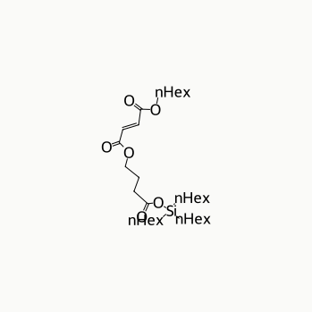 CCCCCCOC(=O)C=CC(=O)OCCCC(=O)O[Si](CCCCCC)(CCCCCC)CCCCCC